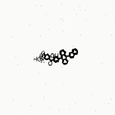 COc1cc(O)c(C(=O)c2ccc(-c3c4ccccc4c(-c4ccc5ccccc5c4)c4ccccc34)cc2)cc1S(=O)(=O)O